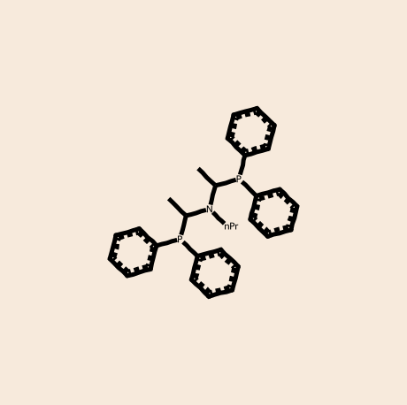 CCCN(C(C)P(c1ccccc1)c1ccccc1)C(C)P(c1ccccc1)c1ccccc1